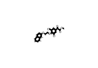 COC(=O)C(=O)c1cc(Cl)c(OCCOc2ccc3ccccc3c2)c(Cl)c1